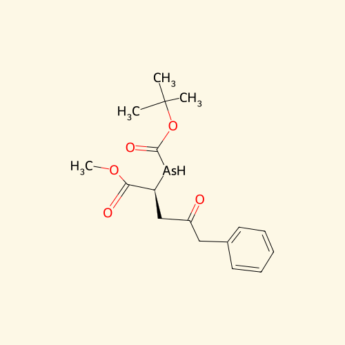 COC(=O)[C@H](CC(=O)Cc1ccccc1)[AsH]C(=O)OC(C)(C)C